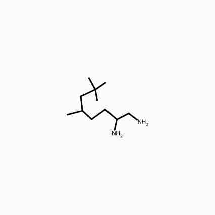 CC(CCC(N)CN)CC(C)(C)C